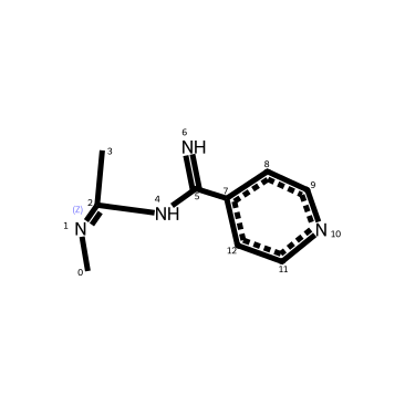 C/N=C(/C)NC(=N)c1ccncc1